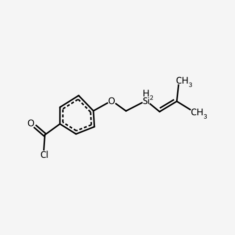 CC(C)=C[SiH2]COc1ccc(C(=O)Cl)cc1